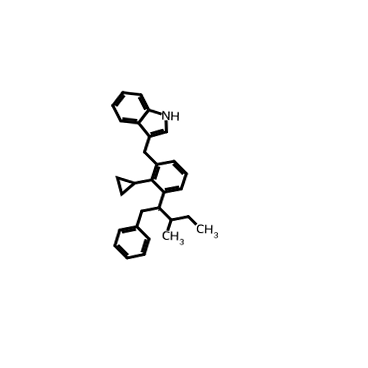 CCC(C)[C](Cc1ccccc1)c1cccc(Cc2c[nH]c3ccccc23)c1C1CC1